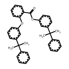 CC(C)(c1ccccc1)c1cccc(OC(=O)c2ccccc2Oc2cccc(C(C)(C)c3ccccc3)c2)c1